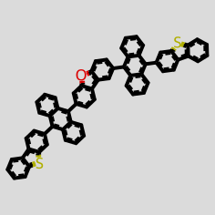 c1ccc2c(c1)sc1cc(-c3c4ccccc4c(-c4ccc5c(c4)oc4ccc(-c6c7ccccc7c(-c7ccc8c(c7)sc7ccccc78)c7ccccc67)cc45)c4ccccc34)ccc12